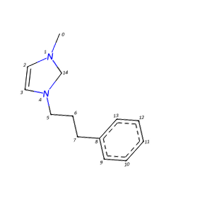 CN1C=CN(CCCc2ccccc2)C1